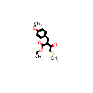 CCOC(=O)C(=Cc1ccc(OC)cc1)C(=O)CSC